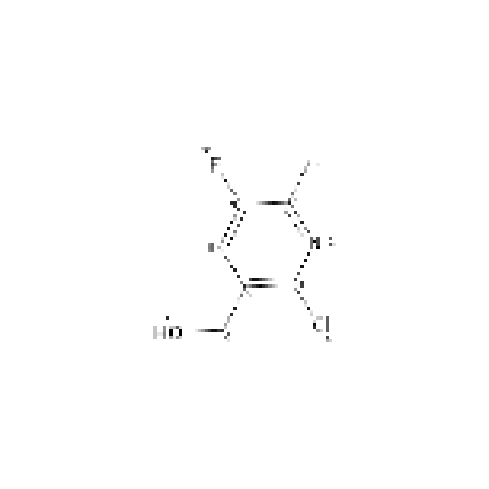 Cc1nc(Cl)c(CO)cc1F